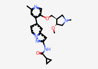 CO[C@H]1CN(C)C[C@@H]1COc1cnc(C)cc1-c1ccn2nc(NC(=O)C3CC3)cc2c1